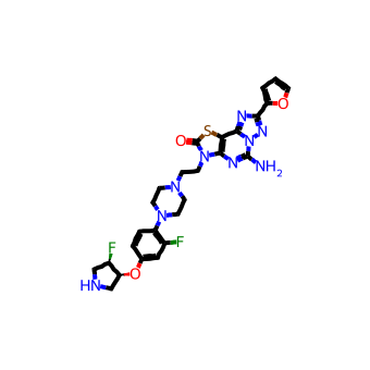 Nc1nc2c(sc(=O)n2CCN2CCN(c3ccc(O[C@H]4CNC[C@H]4F)cc3F)CC2)c2nc(-c3ccco3)nn12